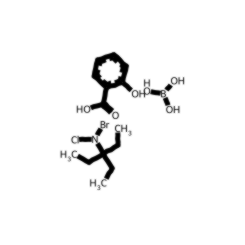 CCC(CC)(CC)N(Cl)Br.O=C(O)c1ccccc1O.OB(O)O